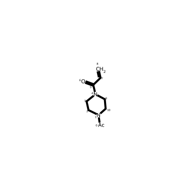 [CH2]C(=O)N1CCN(C(=O)C=C)CC1